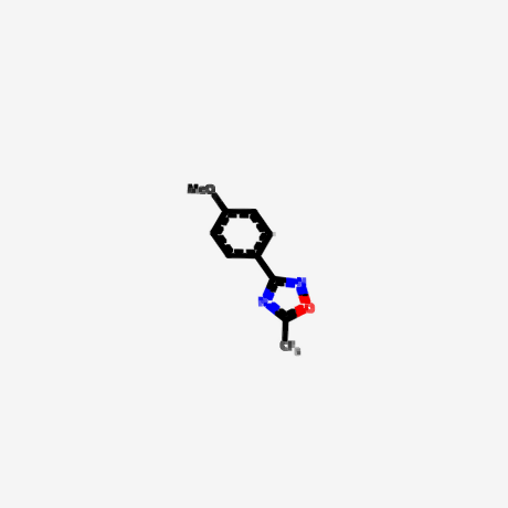 COc1c[c]c(-c2noc(C(F)(F)F)n2)cc1